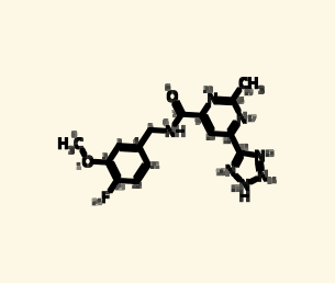 COc1cc(CNC(=O)c2cc(-c3nn[nH]n3)nc(C)n2)ccc1F